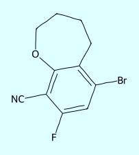 N#Cc1c(F)cc(Br)c2c1OCCCC2